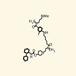 CNCCCN(C)C(=O)c1ccc(NCCCCCC(=O)N(C)CCN2CCC(OC(=O)Nc3ccccc3-c3ccccc3)CC2)c(F)c1